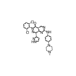 CN1CCN(c2ccc(Nc3ncc4c(=O)n(-c5c(Cl)cccc5Cl)nc(-c5cc[nH]n5)c4n3)cc2)CC1